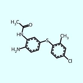 CC(=O)Nc1cc(Sc2ccc(Cl)cc2C)ccc1N